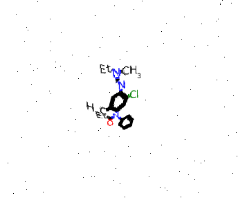 CCC(=O)N(c1ccccc1)c1cc(Cl)c(/N=C/N(C)CC)cc1C